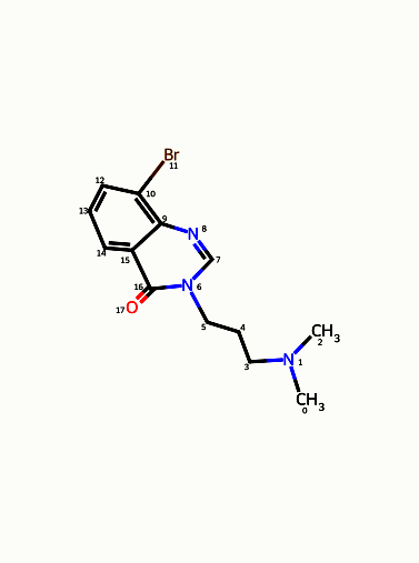 CN(C)CCCn1cnc2c(Br)cccc2c1=O